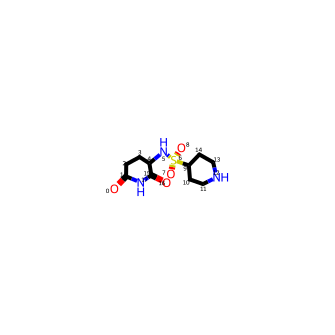 O=C1CCC(NS(=O)(=O)C2CCNCC2)C(=O)N1